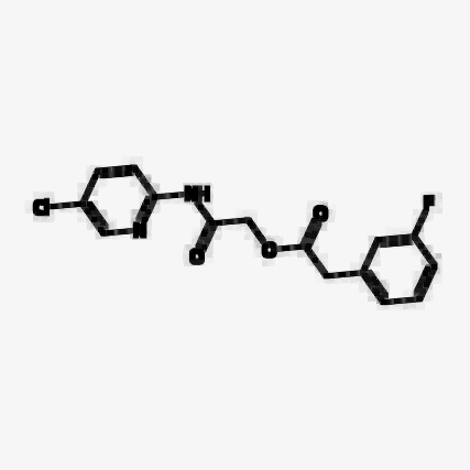 O=C(COC(=O)Cc1cccc(F)c1)Nc1ccc(Cl)cn1